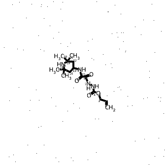 C=CCOC(=O)NNC(=O)C(=O)NC1CC(C)(C)NC(C)(C)C1